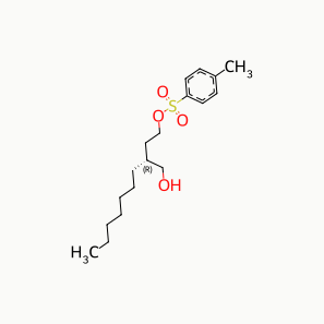 CCCCCCC[C@@H](CO)CCOS(=O)(=O)c1ccc(C)cc1